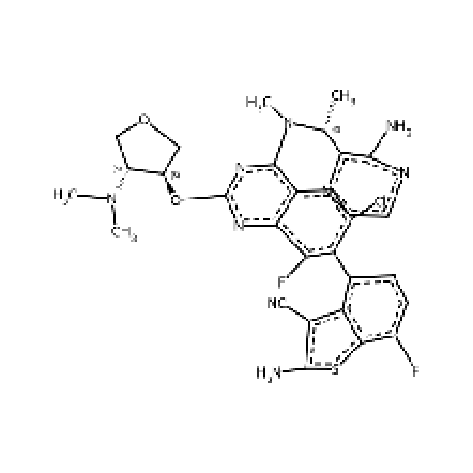 C[C@H](c1nccnc1N)N(C)c1nc(O[C@@H]2COC[C@H]2N(C)C)nc2c(F)c(-c3ccc(F)c4sc(N)c(C#N)c34)c(Cl)cc12